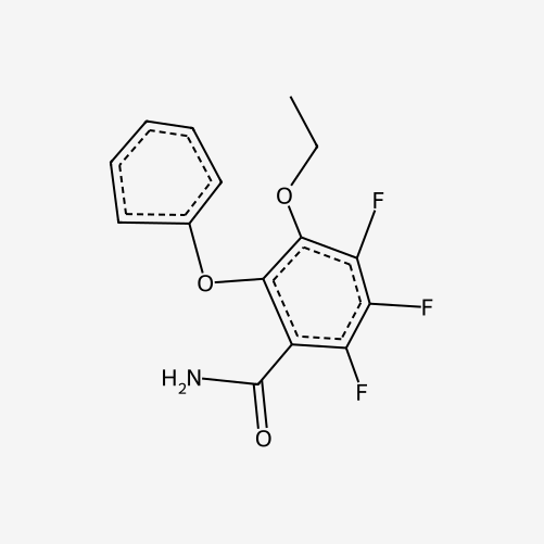 CCOc1c(F)c(F)c(F)c(C(N)=O)c1Oc1ccccc1